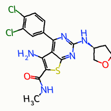 CNC(=O)c1sc2nc(N[C@H]3CCOC3)nc(-c3ccc(Cl)c(Cl)c3)c2c1N